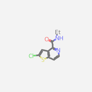 CCNC(=O)c1nccc2sc(Cl)cc12